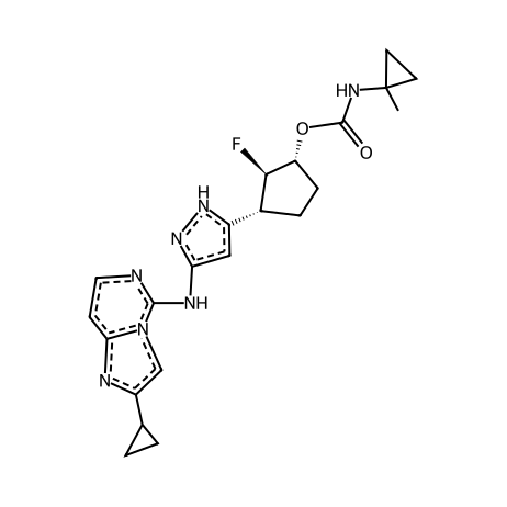 CC1(NC(=O)O[C@@H]2CC[C@H](c3cc(Nc4nccc5nc(C6CC6)cn45)n[nH]3)[C@H]2F)CC1